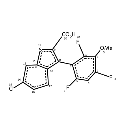 COc1c(F)cc(F)c(-c2c(C(=O)O)sc3cc(Cl)ccc23)c1F